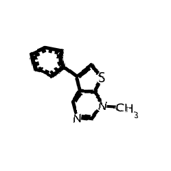 CN1C=NC=C2C(c3ccccc3)=CSC21